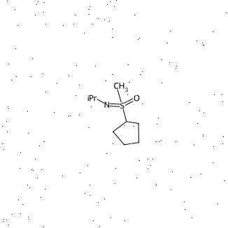 CC(C)N=S(C)(=O)C1CCCC1